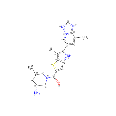 Cc1cc(-c2[nH]c3cc(C(=O)N4CC(C(F)(F)F)C[C@@H](N)C4)sc3c2C(C)C)cn2ncnc12